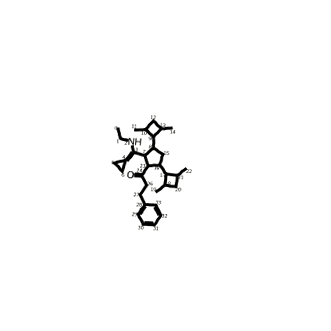 CCNC(=C1CC1)C1C(C2C(C)CC2C)CC(C2C(C)CC2C)C1C(=O)CCc1ccccc1